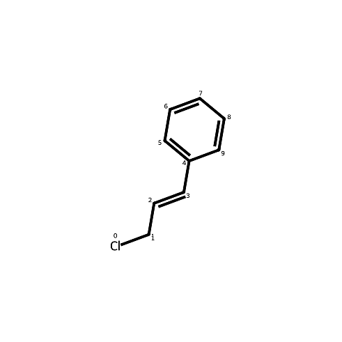 Cl[CH]/C=C/c1ccccc1